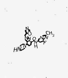 Cc1cn2cc(NC(=O)c3ccc(N4CCNCC4)c4cn(Cc5cnco5)nc34)cc(F)c2n1